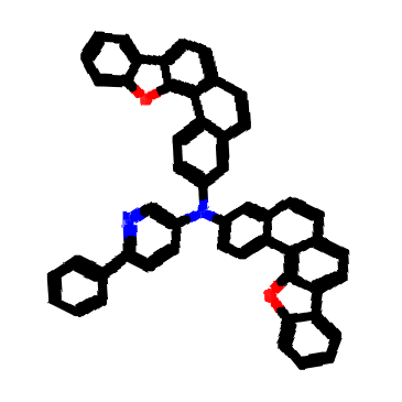 c1ccc(-c2ccc(N(c3ccc4c(ccc5ccc6c7ccccc7oc6c54)c3)c3ccc4c(ccc5ccc6c7ccccc7oc6c54)c3)cn2)cc1